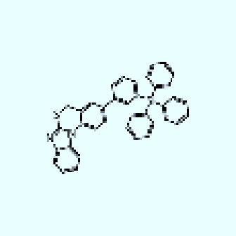 c1ccc([Si](c2ccccc2)(c2ccccc2)c2cccc(-c3ccc4c(c3)CSc3nc5ccccc5n3-4)c2)cc1